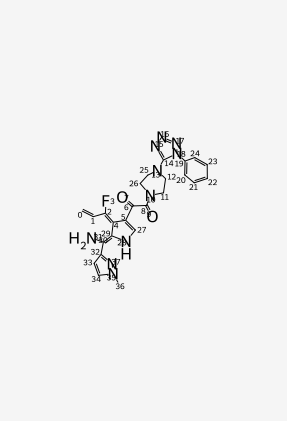 C=C/C(F)=c1/c(C(=O)C(=O)N2CCN(c3nnnn3-c3ccccc3)CC2)c[nH]/c1=C(/N)c1ccn(C)n1